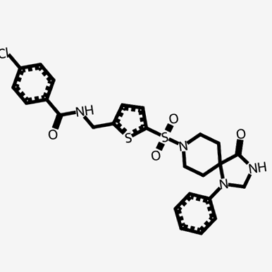 O=C(NCc1ccc(S(=O)(=O)N2CCC3(CC2)C(=O)NCN3c2ccccc2)s1)c1ccc(Cl)cc1